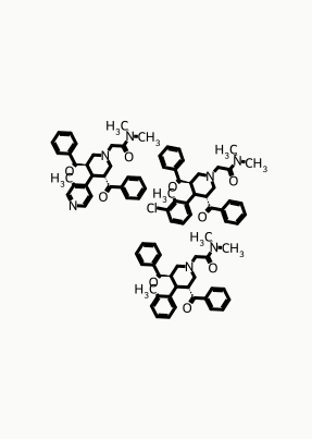 Cc1c(Cl)cccc1C1[C@@H](C(=O)c2ccccc2)CN(CC(=O)N(C)C)C[C@@H]1C(=O)c1ccccc1.Cc1ccccc1C1[C@@H](C(=O)c2ccccc2)CN(CC(=O)N(C)C)C[C@@H]1C(=O)c1ccccc1.Cc1cnccc1C1[C@@H](C(=O)c2ccccc2)CN(CC(=O)N(C)C)C[C@@H]1C(=O)c1ccccc1